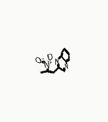 CC(Cc1cnc2ccccc2n1)[N+](=O)[O-]